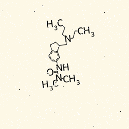 CCCN(CCC)CC1CCc2ccc(NC(=O)N(C)C)cc21